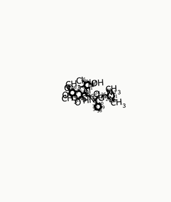 COc1ccc([C@H](Cc2c(Cl)c[n+](O)cc2Cl)c2cc(CNC(C(=O)OC[C@H]3CN(C)CCN3C)c3ccccc3)sc2C(=O)[O-])cc1OC